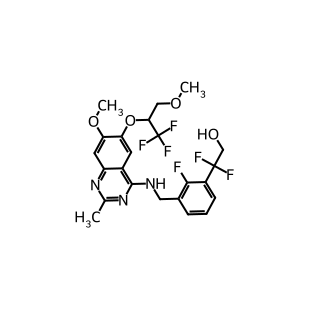 COCC(Oc1cc2c(NCc3cccc(C(F)(F)CO)c3F)nc(C)nc2cc1OC)C(F)(F)F